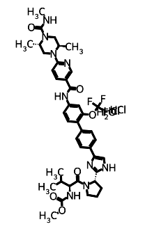 CNC(=O)N1C[C@@H](C)N(c2ccc(C(=O)Nc3ccc(-c4ccc(-c5c[nH]c([C@@H]6CCCN6C(=O)[C@@H](NC(=O)OC)C(C)C)n5)cc4)c(OC(F)(F)F)c3)cn2)C[C@@H]1C.Cl.Cl.O